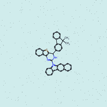 CC1(C)c2ccccc2-c2cc(C3NC(n4c5ccccc5c5cc6ccccc6cc54)=Nc4c3sc3ccccc43)ccc21